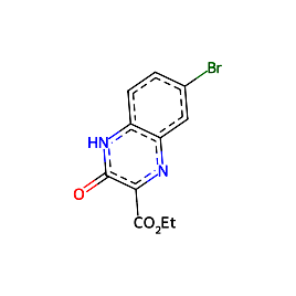 CCOC(=O)c1nc2cc(Br)ccc2[nH]c1=O